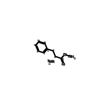 NOC(=O)CCc1ccccc1.[NaH]